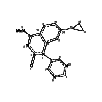 CNc1nc(=O)n(-c2cncnc2)c2cc(C3CC3)ccc12